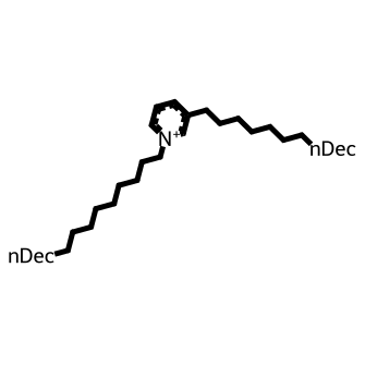 CCCCCCCCCCCCCCCCCCC[n+]1cccc(CCCCCCCCCCCCCCCCC)c1